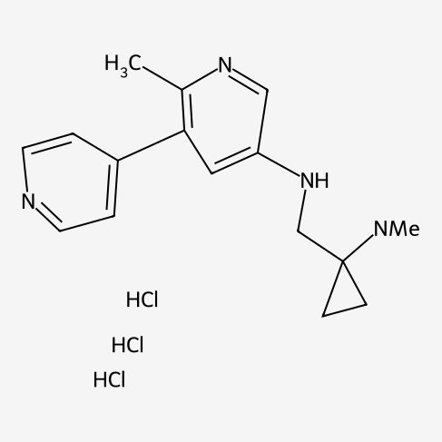 CNC1(CNc2cnc(C)c(-c3ccncc3)c2)CC1.Cl.Cl.Cl